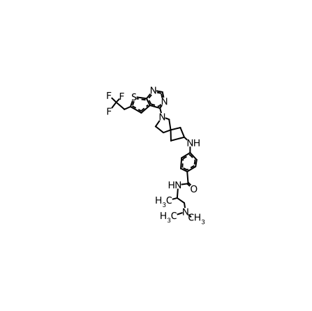 CC(CN(C)C)NC(=O)c1ccc(NC2CC3(CCN(c4ncnc5sc(CC(F)(F)F)cc45)C3)C2)cc1